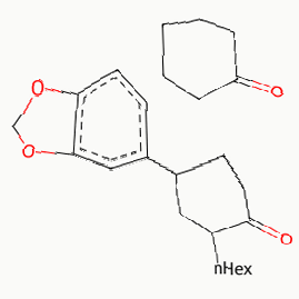 CCCCCCC1CC(c2ccc3c(c2)OCO3)CCC1=O.O=C1CCCCC1